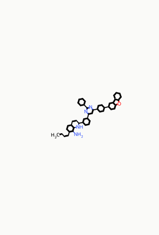 C=C/C=C\c1ccc2c(c1N)NC(c1cccc(-c3cc(-c4ccc(-c5ccc6oc7ccccc7c6c5)cc4)nc(-c4ccccc4)n3)c1)C=C2